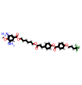 COc1c(N)cc(C(=O)OCCCCCCOC(=O)/C=C/c2ccc(OC(=O)c3ccc(OCCCC(F)(F)F)cc3)cc2)cc1N